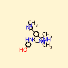 CC1=C2c3ccc(-c4cnn(C)c4)cc3C(Nc3ccc(O)cc3)CCN2N(C)N1